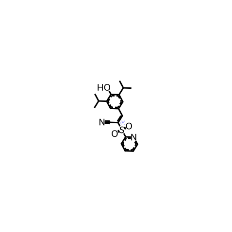 CC(C)c1cc(/C=C(\C#N)S(=O)(=O)c2ccccn2)cc(C(C)C)c1O